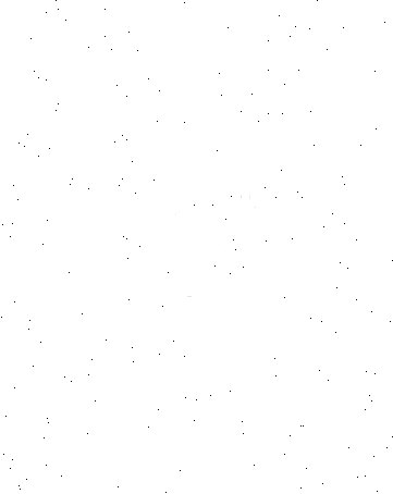 O=C(O)c1sc(Cl)c(F)c1Cl